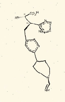 CCC[C@H](C(=O)O)[C@H](Cc1ccc(C2CCN(C=N)CC2)nc1)c1nnn[nH]1